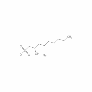 CCCCCCCC(O)CS(=O)(=O)[O-].[Na+]